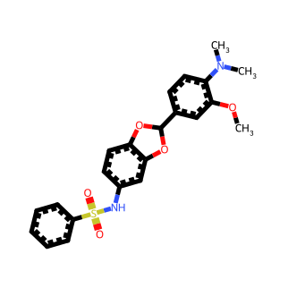 COc1cc(C2Oc3ccc(NS(=O)(=O)c4ccccc4)cc3O2)ccc1N(C)C